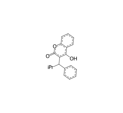 CC(C)C(c1ccccc1)c1c(O)c2ccccc2oc1=O